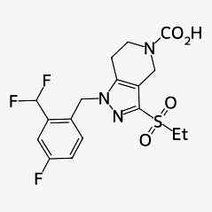 CCS(=O)(=O)c1nn(Cc2ccc(F)cc2C(F)F)c2c1CN(C(=O)O)CC2